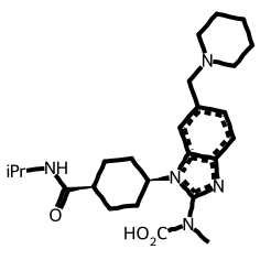 CC(C)NC(=O)[C@H]1CC[C@@H](n2c(N(C)C(=O)O)nc3ccc(CN4CCCCC4)cc32)CC1